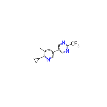 Cc1cc(-c2cnc(C(F)(F)F)nc2)cnc1C1CC1